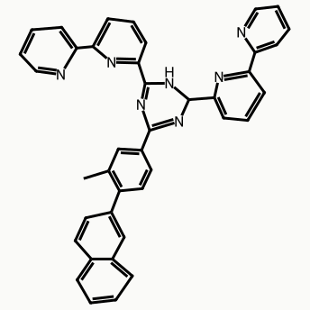 Cc1cc(C2=NC(c3cccc(-c4ccccn4)n3)NC(c3cccc(-c4ccccn4)n3)=N2)ccc1-c1ccc2ccccc2c1